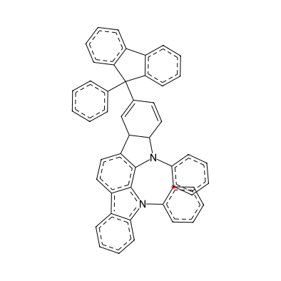 C1=CC2C(C=C1C1(c3ccccc3)c3ccccc3-c3ccccc31)c1ccc3c4ccccc4n(-c4ccccc4)c3c1N2c1ccccc1